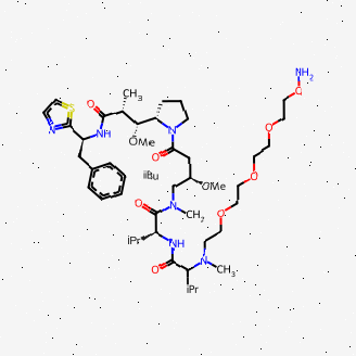 CC[C@H](C)C([C@@H](CC(=O)N1CCC[C@H]1[C@H](OC)[C@@H](C)C(=O)N[C@@H](Cc1ccccc1)c1nccs1)OC)N(C)C(=O)[C@@H](NC(=O)C(C(C)C)N(C)CCOCCOCCOCCON)C(C)C